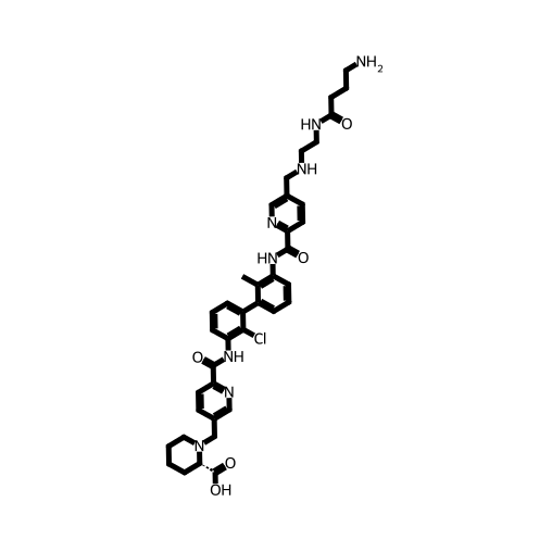 Cc1c(NC(=O)c2ccc(CNCCNC(=O)CCCN)cn2)cccc1-c1cccc(NC(=O)c2ccc(CN3CCCC[C@H]3C(=O)O)cn2)c1Cl